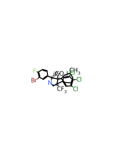 CC1CCCC([C@@]2(C(=O)O)[C@@](c3ccc(F)c(Br)c3)(C(C)C)N=C[C@]2(c2cc(Cl)c(Cl)c(Cl)c2)C(F)(F)F)C1